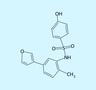 Cc1ccc(-c2ccoc2)cc1NS(=O)(=O)c1ccc(O)cc1